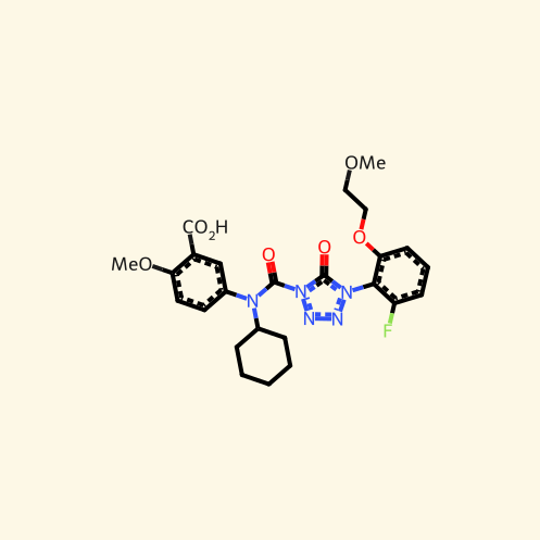 COCCOc1cccc(F)c1-n1nnn(C(=O)N(c2ccc(OC)c(C(=O)O)c2)C2CCCCC2)c1=O